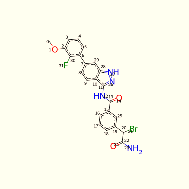 COc1cccc(-c2ccc3c(NC(=O)c4cccc(C(Br)C(N)=O)c4)n[nH]c3c2)c1F